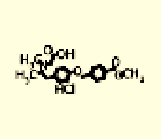 COC(=O)c1ccc(COc2ccc(CC(C)N(C)CC(=O)O)cc2)cc1.Cl